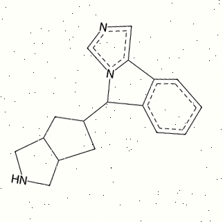 c1ccc2c(c1)-c1cncn1C2C1CC2CNCC2C1